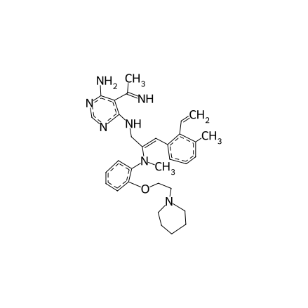 C=Cc1c(C)cccc1/C=C(/CNc1ncnc(N)c1C(C)=N)N(C)c1ccccc1OCCN1CCCCC1